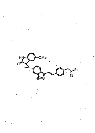 CCN(CC)Cc1ccc(C=Cc2n[nH]c3cc([C@@H]4C[C@@]45C(=O)Nc4ccc(OC)cc45)ccc23)cc1